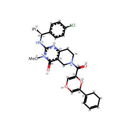 COn1c(N[C@H](c2ccc(Cl)cc2)C(C)C)nc2c(c1=O)CN(C(=O)C1=COC=C(C3=CC=CCC3)O1)CC2